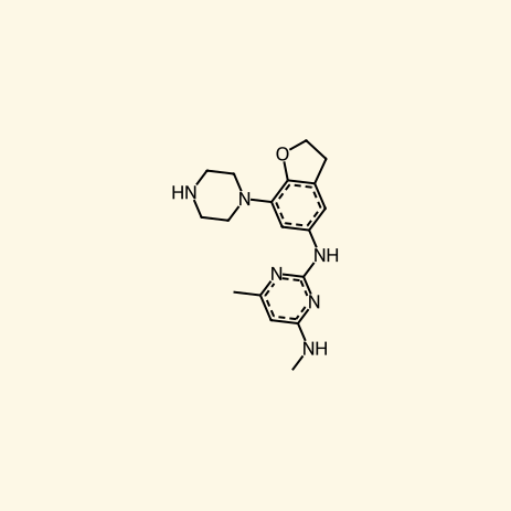 CNc1cc(C)nc(Nc2cc3c(c(N4CCNCC4)c2)OCC3)n1